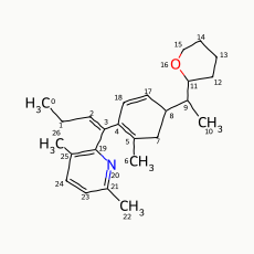 CC/C=C(/C1=C(C)CC(C(C)C2CCCCO2)C=C1)c1nc(C)ccc1C